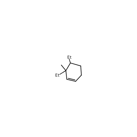 CCC1CCC=CC1(C)CC